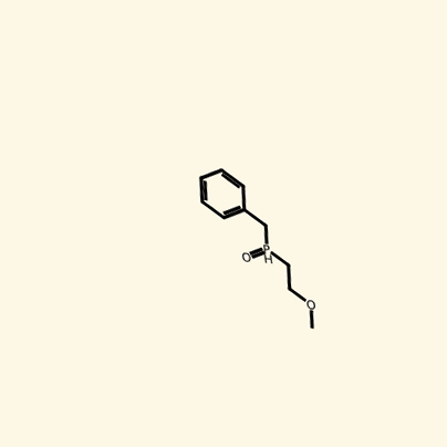 COCC[PH](=O)Cc1ccccc1